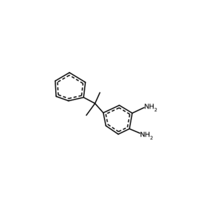 CC(C)(c1ccccc1)c1ccc(N)c(N)c1